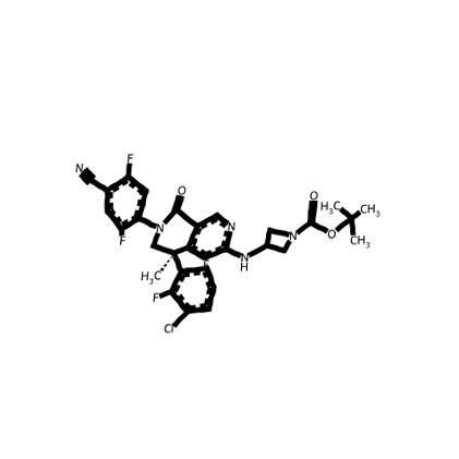 CC(C)(C)OC(=O)N1CC(Nc2ncc3c(c2F)[C@@](C)(c2cccc(Cl)c2F)CN(c2cc(F)c(C#N)cc2F)C3=O)C1